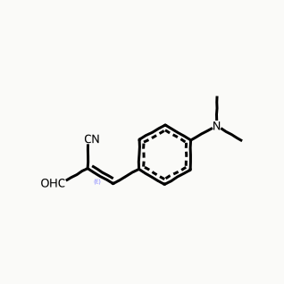 CN(C)c1ccc(/C=C(\C#N)C=O)cc1